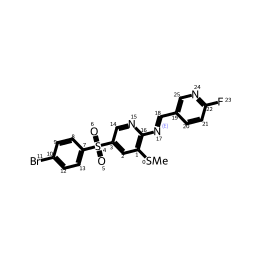 CSc1cc(S(=O)(=O)c2ccc(Br)cc2)cnc1/N=C/c1ccc(F)nc1